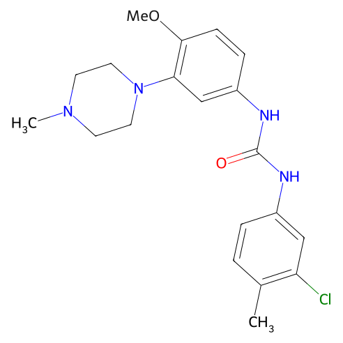 COc1ccc(NC(=O)Nc2ccc(C)c(Cl)c2)cc1N1CCN(C)CC1